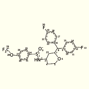 [O-][S+](NC1CCOC(C(c2ccc(F)cc2)c2ccc(F)cc2)C1)c1ccc(OC(F)(F)F)cc1